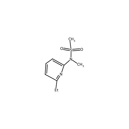 CCc1cccc(N(C)S(C)(=O)=O)n1